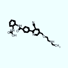 CCNCCOCc1cnc(-c2ccc(C(=O)Nc3ccccc3NC(=O)O)cc2)c(C#N)c1